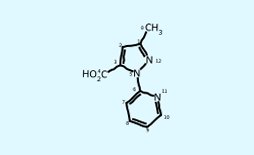 Cc1cc(C(=O)O)n(-c2ccccn2)n1